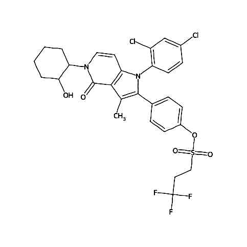 Cc1c(-c2ccc(OS(=O)(=O)CCC(F)(F)F)cc2)n(-c2ccc(Cl)cc2Cl)c2ccn(C3CCCCC3O)c(=O)c12